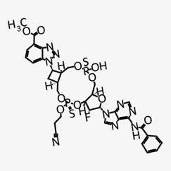 COC(=O)c1cccc2c1nnn2[C@@H]1C[C@@H]2COP(=S)(OCCC#N)O[C@H]3[C@@H](F)[C@H](n4cnc5c(NC(=O)c6ccccc6)ncnc54)O[C@@H]3COP(O)(=S)OC[C@H]21